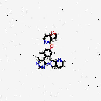 Cc1cc(Oc2nccc3occc23)ccc1-c1c(C)ncnc1N1Cc2cccnc2C1